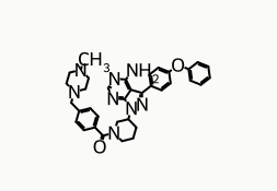 CN1CCN(Cc2ccc(C(=O)N3CCCC(n4nc(-c5ccc(Oc6ccccc6)cc5)c5c(N)ncnc54)C3)cc2)CC1